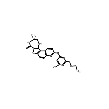 C[C@@H]1CNc2c(oc3ccc4nc(Oc5cc(Cl)nc(COCC(F)(F)F)n5)ccc4c23)C(=O)N1